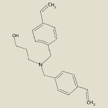 C=Cc1ccc(CN(CCCO)Cc2ccc(C=C)cc2)cc1